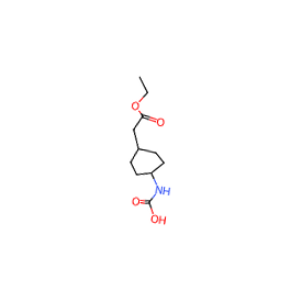 CCOC(=O)CC1CCC(NC(=O)O)CC1